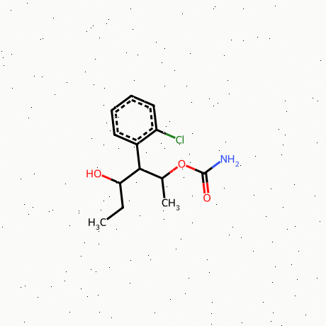 CCC(O)C(c1ccccc1Cl)C(C)OC(N)=O